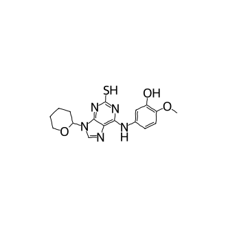 COc1ccc(Nc2nc(S)nc3c2ncn3C2CCCCO2)cc1O